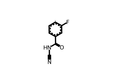 N#CNC(=O)c1cc[c]c(F)c1